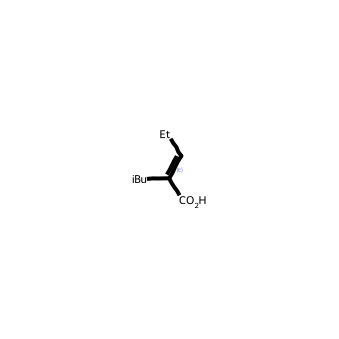 CC/C=C(/C(=O)O)C(C)CC